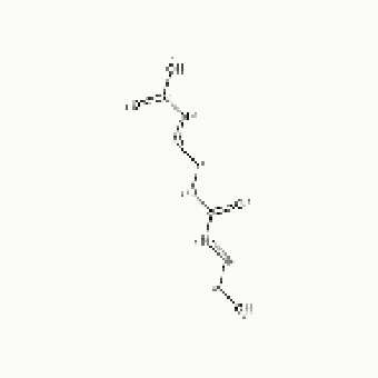 O=C(O)N=CCOC(=O)N=CCO